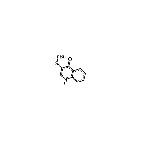 CCCCSc1cn(C)c2ccccc2c1=O